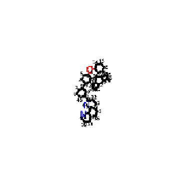 c1cc(-c2ccc3c(c2)C2(c4ccccc4O3)c3ccccc3-c3ccccc32)cc(-c2ccc3ccc4cccnc4c3n2)c1